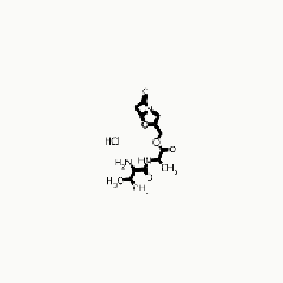 CC(NC(=O)C(N)C(C)C)C(=O)OCC1CN2C(=O)CC2O1.Cl